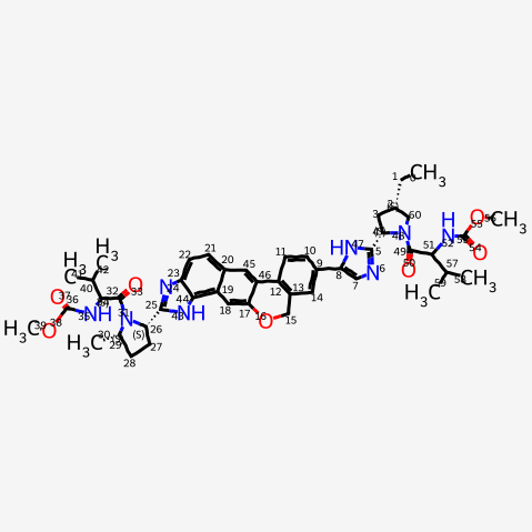 CC[C@H]1C[C@@H](c2ncc(-c3ccc4c(c3)COc3cc5c(ccc6nc([C@@H]7CC[C@H](C)N7C(=O)[C@@H](NC(=O)OC)C(C)C)[nH]c65)cc3-4)[nH]2)N(C(=O)C(NC(=O)OC)C(C)C)C1